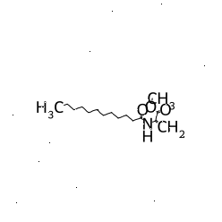 C=C(NC(=O)CCCCCCCCCCC)C(=O)OC